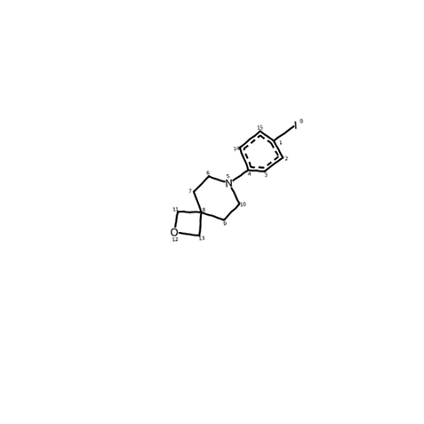 Ic1ccc(N2CCC3(CC2)COC3)cc1